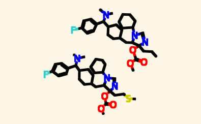 CCCC1(OC(=O)OC)N=CN(C2CCCCC2)C1CC1CCC(C(c2ccc(F)cc2)N(C)C)CC1.COC(=O)OC1(CCSC)N=CN(C2CCCCC2)C1CC1CCC(C(c2ccc(F)cc2)N(C)C)CC1